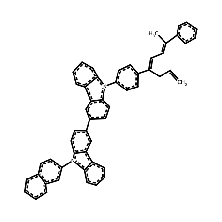 C=CC/C(=C\C=C(/C)c1ccccc1)c1ccc(-n2c3ccccc3c3cc(-c4ccc5c(c4)c4ccccc4n5-c4ccc5ccccc5c4)ccc32)cc1